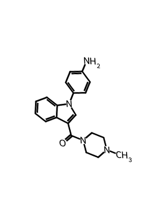 CN1CCN(C(=O)c2cn(-c3ccc(N)cc3)c3ccccc23)CC1